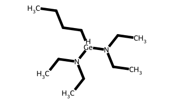 CCC[CH2][GeH]([N](CC)CC)[N](CC)CC